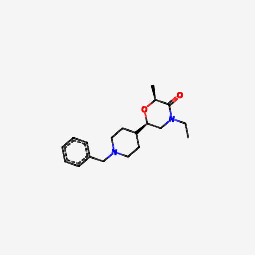 CCN1C[C@@H](C2CCN(Cc3ccccc3)CC2)O[C@@H](C)C1=O